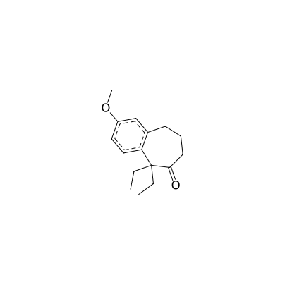 CCC1(CC)C(=O)CCCc2cc(OC)ccc21